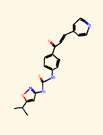 CC(C)c1cc(NC(=O)Nc2ccc(C(=O)/C=C/c3ccncc3)cc2)no1